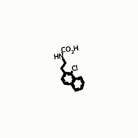 O=C(O)NCCc1ccc2ccccc2c1Cl